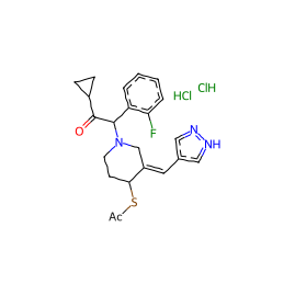 CC(=O)SC1CCN(C(C(=O)C2CC2)c2ccccc2F)C/C1=C\c1cn[nH]c1.Cl.Cl